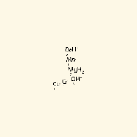 [BaH+].[Cr].[Cu].[MgH2].[Mn].[OH-]